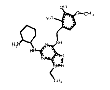 CCn1nnc2c(NCc3ccc(OC)c(O)c3O)nc(NC3CCCCC3N)nc21